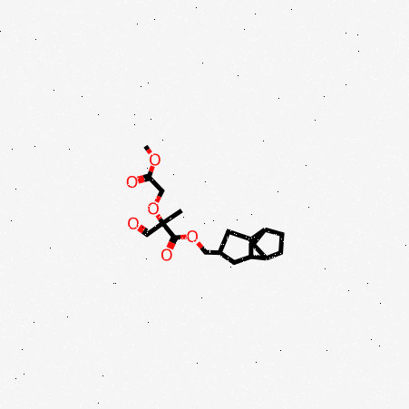 COC(=O)COC(C)(C=O)C(=O)OCC1CC2C3CCC(C3)C2C1